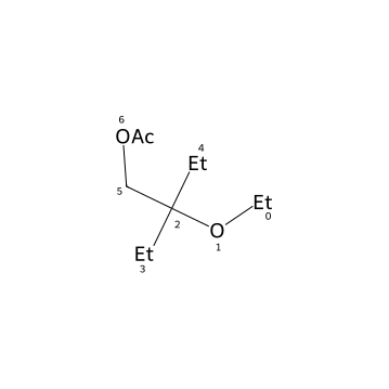 CCOC(CC)(CC)COC(C)=O